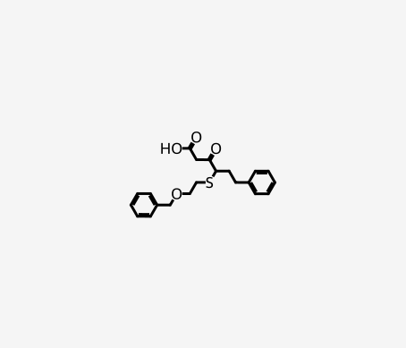 O=C(O)CC(=O)C(CCc1ccccc1)SCCOCc1ccccc1